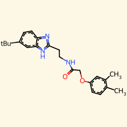 Cc1ccc(OCC(=O)NCCc2nc3ccc(C(C)(C)C)cc3[nH]2)cc1C